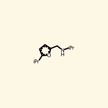 CC(C)NCc1ccc(C(C)C)o1